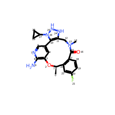 C[C@H]1Oc2cc(cnc2N)C2=C(CN(C)C(=O)c3ccc(F)cc31)NNN2C1CC1